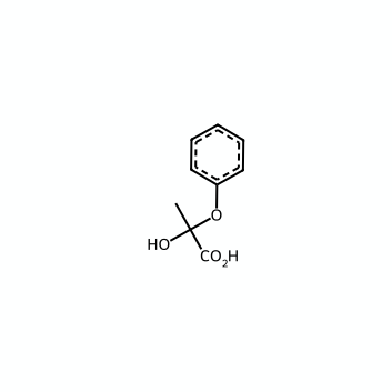 CC(O)(Oc1ccccc1)C(=O)O